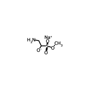 COS(=O)(=O)C([O-])CN.[Na+]